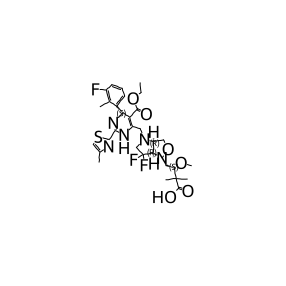 CCOC(=O)C1=C(CN2CC(F)(F)[C@H]3[C@@H]2CON3C[C@@H](OC)C(C)(C)C(=O)O)NC(c2nc(C)cs2)=N[C@H]1c1cccc(F)c1C